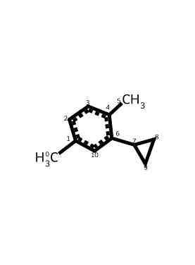 Cc1ccc(C)c(C2CC2)c1